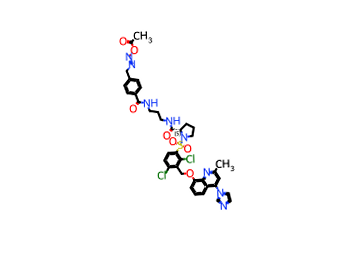 CC(=O)ON=NCc1ccc(C(=O)NCCCNC(=O)[C@@H]2CCCN2S(=O)(=O)c2ccc(Cl)c(COc3cccc4c(-n5ccnc5)cc(C)nc34)c2Cl)cc1